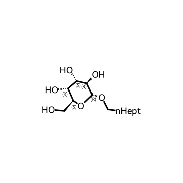 CCCCCCCCO[C@@H]1O[C@@H](CO)[C@H](O)[C@H](O)[C@H]1O